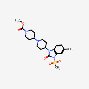 COC(=O)N1CCC(N2CCC(n3c(=O)n(S(C)(=O)=O)c4cc(C)ccc43)CC2)CC1